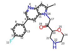 Cc1cc2ncc(-c3ccc(F)cc3)cc2n1CC(=O)C1CNCCO1